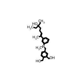 CCC(O)(CC)CC/C=C(\C)c1cccc(N(C)Cc2ccc(CO)c(CO)c2)c1